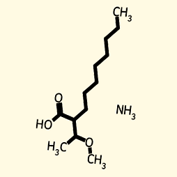 CCCCCCCCC(C(=O)O)C(C)OC.N